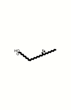 CCCCCCCCCC(CCCCCCCC/C=C\CCCCCCCC(=O)O)CN(C)C